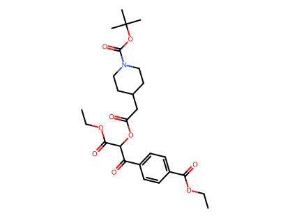 CCOC(=O)c1ccc(C(=O)C(OC(=O)CC2CCN(C(=O)OC(C)(C)C)CC2)C(=O)OCC)cc1